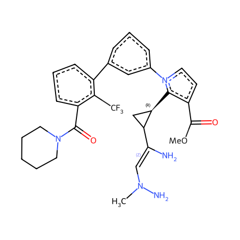 COC(=O)c1ccn(-c2cccc(-c3cccc(C(=O)N4CCCCC4)c3C(F)(F)F)c2)c1[C@@H]1CC1/C(N)=C/N(C)N